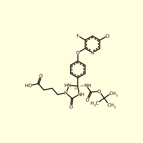 CC(C)(C)OC(=O)N[C@]1(c2ccc(Oc3ncc(Cl)cc3F)cc2)NC(=O)N(CCCC(=O)O)N1